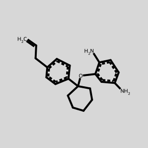 C=CCc1ccc(C2(Oc3cc(N)ccc3N)CCCCC2)cc1